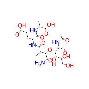 CC(=O)N[C@@H](C=O)[C@@H](OC(C(N)=O)C(C)C(=O)NC(CCC(=O)O)C(=O)NC(C)C(=O)O)[C@H](O)[C@H](O)CO